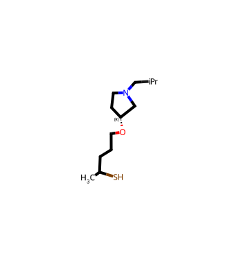 CC(C)CN1CC[C@@H](OCCCC(C)S)C1